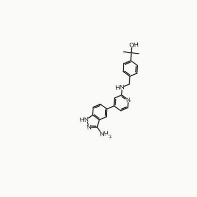 CC(C)(O)c1ccc(CNc2cc(-c3ccc4[nH]nc(N)c4c3)ccn2)cc1